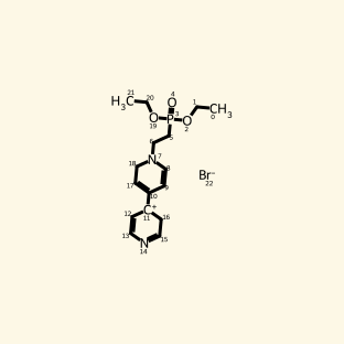 CCOP(=O)(CCN1C=CC([C+]2C=CN=CC2)=CC1)OCC.[Br-]